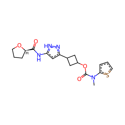 CN(C(=O)OC1CC(c2cc(NC(=O)[C@H]3CCCO3)[nH]n2)C1)c1cccs1